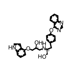 OC[C@H](Cc1ccc(Oc2ncnc3ccccc23)cc1)NC[C@H](O)COc1cccc2[nH]ccc12